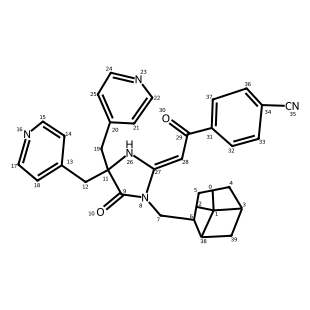 CC1(C)C2CCC(CN3C(=O)C(Cc4ccncc4)(Cc4ccncc4)N/C3=C\C(=O)c3ccc(C#N)cc3)C1C2